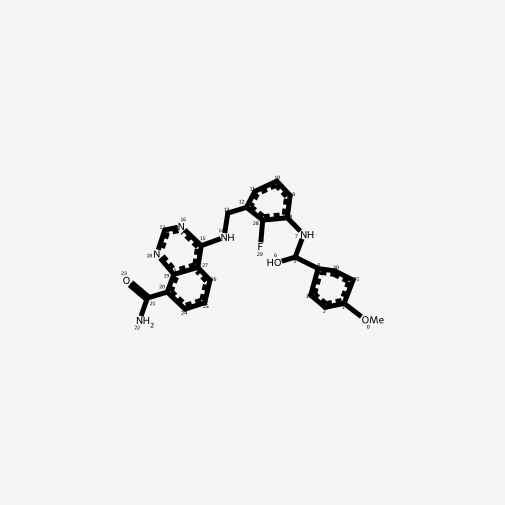 COc1ccc(C(O)Nc2cccc(CNc3ncnc4c(C(N)=O)cccc34)c2F)cc1